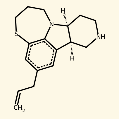 C=CCc1cc2c3c(c1)[C@@H]1CNCC[C@@H]1N3CCCS2